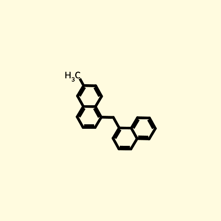 Cc1ccc2c(Cc3cccc4ccccc34)cccc2c1